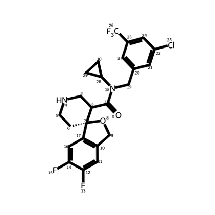 O=C(C1CNCC[C@@]12OCc1cc(F)c(F)cc12)N(Cc1cc(Cl)cc(C(F)(F)F)c1)C1CC1